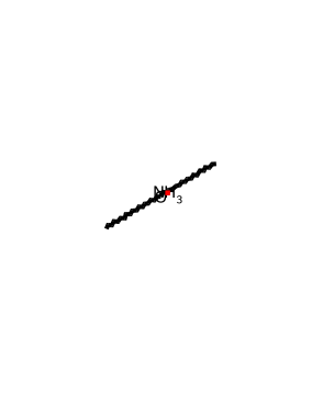 CCCCCCCCCCCCCCCCCCOCCCCCCCCCCCCCCCCCC.N